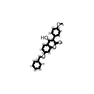 COc1ccc(-c2c(O)c3ccc(OCc4ccccc4)cc3oc2=O)cc1